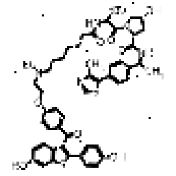 CCN(CCCCCCC(=O)NC(C(=O)N1C[C@H](O)C[C@H]1C(=O)NC(C)c1ccc(-c2scnc2C)cc1)C(C)(C)C)CCOc1ccc(C(=O)c2c(-c3ccc(O)cc3)sc3cc(O)ccc23)cc1